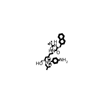 CC(C)CN([C@H](CO)CCCCNC(=O)[C@H](Cc1ccc2ccccc2c1)NC(=O)N(C)C)S(=O)(=O)c1ccc(N)cc1